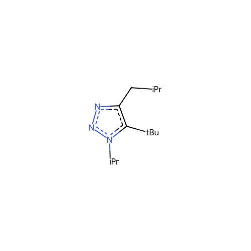 CC(C)Cc1nnn(C(C)C)c1C(C)(C)C